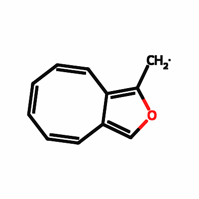 [CH2]c1occ2c1\C=C/C=C\C=C/2